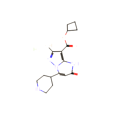 Cc1nn2c(C3CCNCC3)cc(=O)[nH]c2c1C(=O)OC1CCC1.Cl